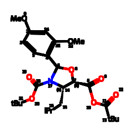 COc1ccc(C2O[C@@H](C(=O)OC(=O)C(C)(C)C)[C@H](CC(C)C)N2C(=O)OC(C)(C)C)c(OC)c1